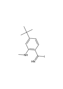 CNc1cc(C(C)(C)C)ccc1C(=N)I